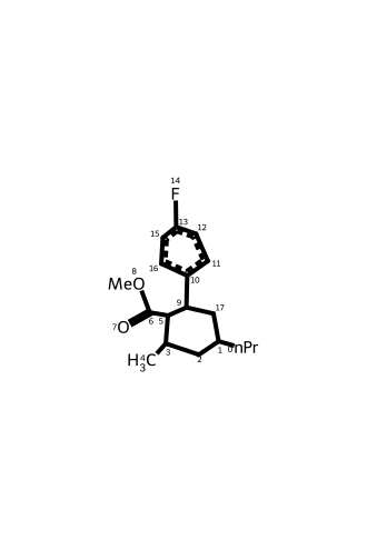 CCCC1CC(C)C(C(=O)OC)C(c2ccc(F)cc2)C1